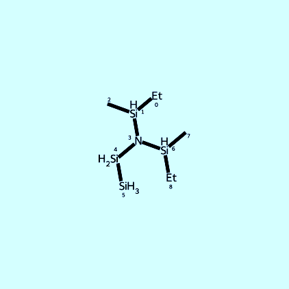 CC[SiH](C)N([SiH2][SiH3])[SiH](C)CC